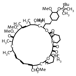 CO[C@H]1C[C@@H]2CC[C@@H](C)[C@@](O)(O2)C(=O)C(=O)N2CCCC[C@H]2C(=O)O[C@H]([C@H](N)C[C@@H]2CCC(O[Si](C)(C)C(C)(C)C)[C@H](OC)C2)C[C@@H](OC)[C@H](C)/C=C(\C)[C@@H](OC)[C@@H](OC)C(=O)[C@H](C)C[C@H](C)/C=C/C=C/C=C/1C